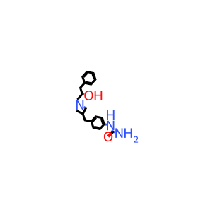 NC(=O)Nc1ccc(CC2CN(CC(O)Cc3ccccc3)C2)cc1